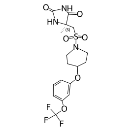 C[C@]1(CS(=O)(=O)N2CCC(Oc3cccc(OC(F)(F)F)c3)CC2)NC(=O)NC1=O